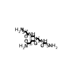 NSCC(=O)NCCN(CCNC(=O)CSN)C(=O)CCC(N)=O